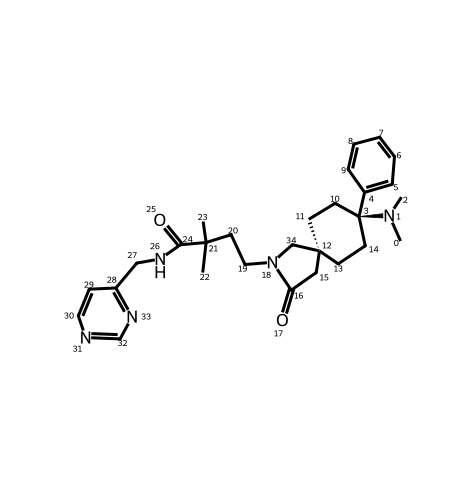 CN(C)[C@]1(c2ccccc2)CC[C@]2(CC1)CC(=O)N(CCC(C)(C)C(=O)NCc1ccncn1)C2